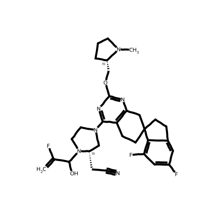 C=C(F)C(O)N1CCN(c2nc(OC[C@@H]3CCCN3C)nc3c2CCC2(CCc4cc(F)cc(F)c42)C3)C[C@@H]1CC#N